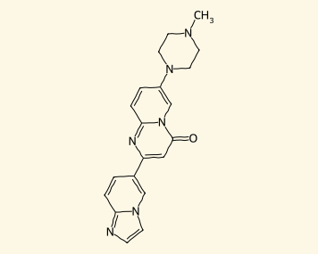 CN1CCN(c2ccc3nc(-c4ccc5nccn5c4)cc(=O)n3c2)CC1